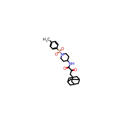 Cc1ccc(S(=O)(=O)N2CCC(NC(=O)C(=O)CC34CC5CC(CC(C5)C3)C4)CC2)cc1